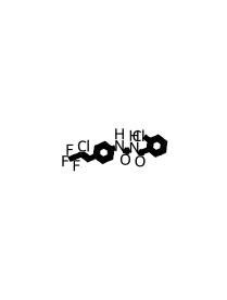 O=C(NC(=O)c1ccccc1Cl)Nc1ccc(C=C(Cl)C(F)(F)F)cc1